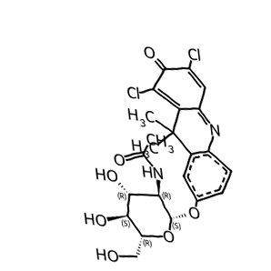 CC(=O)N[C@H]1[C@H](Oc2ccc3c(c2)C(C)(C)C2=C(Cl)C(=O)C(Cl)=CC2=N3)O[C@H](CO)[C@@H](O)[C@@H]1O